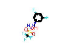 Nc1cc(F)cc(F)c1.O=S(=O)(O)C(F)(F)F